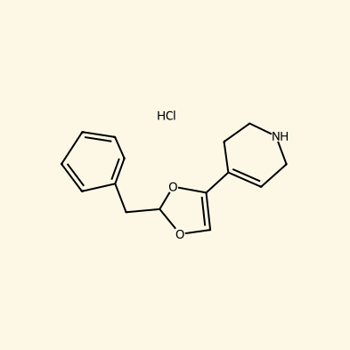 C1=C(C2=COC(Cc3ccccc3)O2)CCNC1.Cl